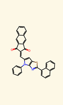 O=C1C(=Cc2cc3sc(-c4cccc5ccccc45)nc3n2-c2ccccc2)C(=O)c2cc3ccccc3cc21